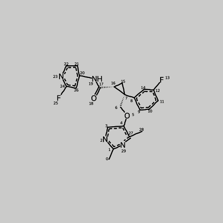 Cc1ncc(OC[C@@]2(c3cccc(F)c3)C[C@H]2C(=O)Nc2ccnc(F)c2)c(C)n1